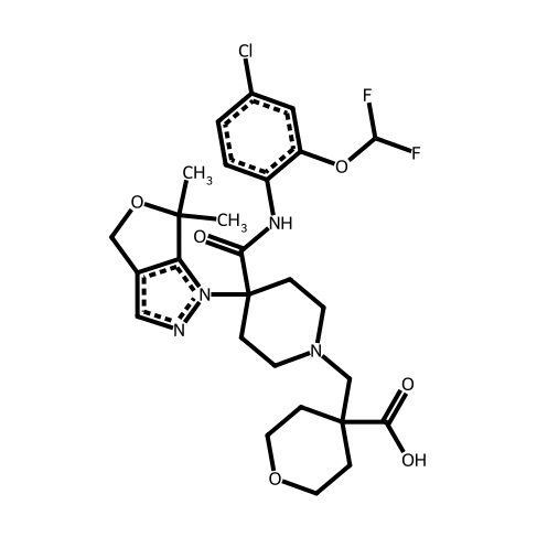 CC1(C)OCc2cnn(C3(C(=O)Nc4ccc(Cl)cc4OC(F)F)CCN(CC4(C(=O)O)CCOCC4)CC3)c21